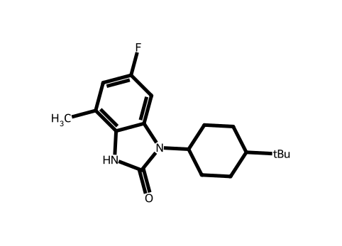 Cc1cc(F)cc2c1[nH]c(=O)n2C1CCC(C(C)(C)C)CC1